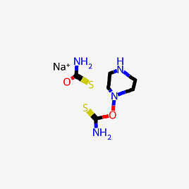 NC(=S)ON1CCNCC1.NC([O-])=S.[Na+]